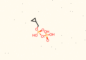 O=P(O)(O)OP(=O)(O)OCC1CC1